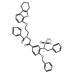 CS(=O)(=O)N(Cc1ccccc1)c1cc(C(=O)CN(CCOc2cccc3c4c(sc23)CCCC4)C(=O)c2ccccc2)ccc1OCc1ccccc1